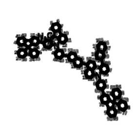 CC1(C)c2ccccc2-c2cccc(N(c3ccc(-c4ccc5c(c4)C(c4ccccc4)(c4ccccc4)c4ccccc4-5)cc3)c3cccc(-c4ccc5cc(-c6cccc7c(N(c8ccc(-c9ccc%10c(c9)C(c9ccccc9)(c9ccccc9)c9ccccc9-%10)cc8)c8cccc(-c9ccc%10ccccc%10c9)c8)cccc67)ccc5c4)c3)c21